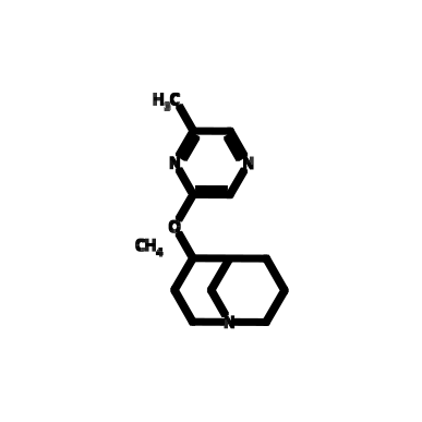 C.Cc1cncc(OC2CCN3CCCC2C3)n1